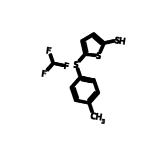 Cc1ccc(Sc2ccc(S)s2)cc1.FC(F)F